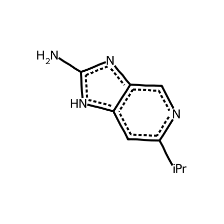 CC(C)c1cc2[nH]c(N)nc2cn1